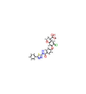 O=C(Nc1nnc(-c2ccccc2)s1)c1ccc(Oc2cc3c(cc2Cl)C(C(=O)O)CCO3)cc1